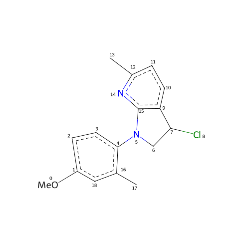 COc1ccc(N2CC(Cl)c3ccc(C)nc32)c(C)c1